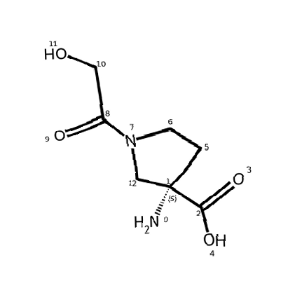 N[C@@]1(C(=O)O)CCN(C(=O)CO)C1